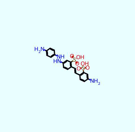 Nc1ccc(NNc2ccc(C=Cc3ccc(N)cc3S(=O)(=O)O)c(S(=O)(=O)O)c2)cc1